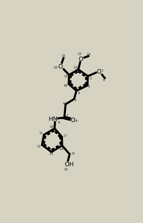 COc1cc(CCC(=O)Nc2cccc(CO)c2)cc(OC)c1OC